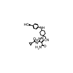 C#Cc1ccc(NC2CCC(CC#N)(n3cc(C(N)=O)c(NC(=O)C4CC4)n3)CC2)cc1